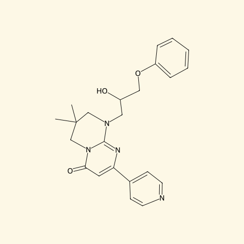 CC1(C)CN(CC(O)COc2ccccc2)c2nc(-c3ccncc3)cc(=O)n2C1